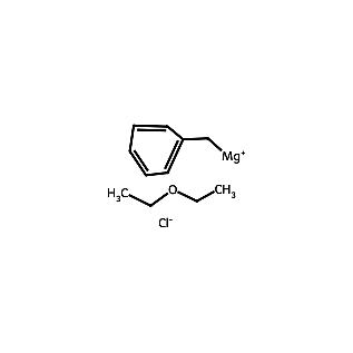 CCOCC.[Cl-].[Mg+][CH2]c1ccccc1